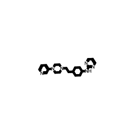 c1cnc(NC2CCC(CCN3CCN(c4cccnc4)CC3)CC2)nc1